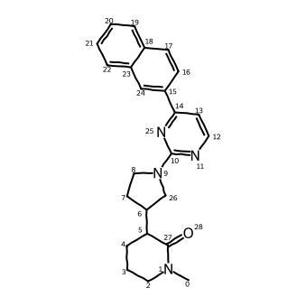 CN1CCCC(C2CCN(c3nccc(-c4ccc5ccccc5c4)n3)C2)C1=O